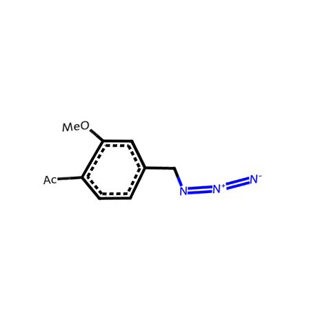 COc1cc(CN=[N+]=[N-])ccc1C(C)=O